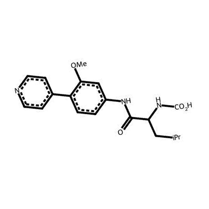 COc1cc(NC(=O)C(CC(C)C)NC(=O)O)ccc1-c1ccncc1